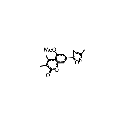 COc1cc(-c2nc(C)no2)cc2oc(=O)c(C)c(C)c12